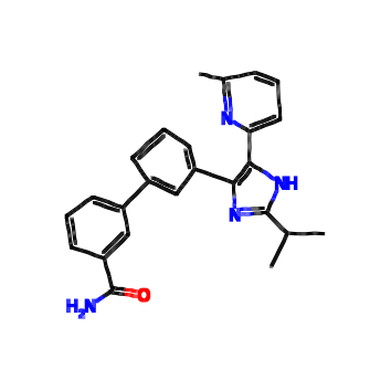 Cc1cccc(-c2[nH]c(C(C)C)nc2-c2cccc(-c3cccc(C(N)=O)c3)c2)n1